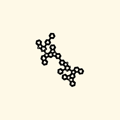 c1ccc(-c2ccc(-c3nc(-n4c5ccc6ccccc6c5c5cc6c7cc(-c8ccc9c(c8)oc8nc(-n%10c%11ccc%12ccccc%12c%11c%11cc%12c%13ccccc%13n%13c%14ccccc%14c(c%11%10)c%12%13)nc(-c%10ccccc%10)c89)ccc7n7c8ccccc8c(c54)c67)nc4oc5ccccc5c34)cc2)cc1